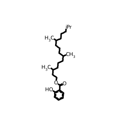 CC(C)CCCC(C)CCCC(C)CCCC(C)CCOC(=O)c1ccccc1O